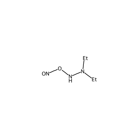 CCN(CC)NON=O